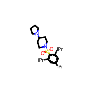 CC(C)c1cc(C(C)C)c(S(=O)(=O)N2CCC(N3CCCC3)CC2)c(C(C)C)c1